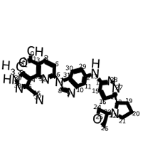 CC(=O)c1ccc(-n2cnc3cc(Nc4ccc([C@H]5CCCN5C5COC5)nn4)ccc32)nc1-c1c(C#N)n[nH]c1C